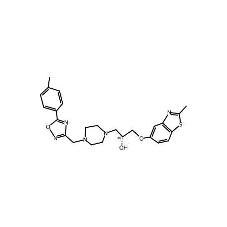 Cc1ccc(-c2nc(CN3CCN(C[C@@H](O)COc4ccc5sc(C)nc5c4)CC3)no2)cc1